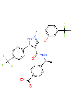 C[C@H](NC(=O)c1c(-c2ccc(C(F)(F)F)cc2)nn(C)c1Oc1cccc(C(C)(F)F)c1)c1ccc(C(=O)O)cc1